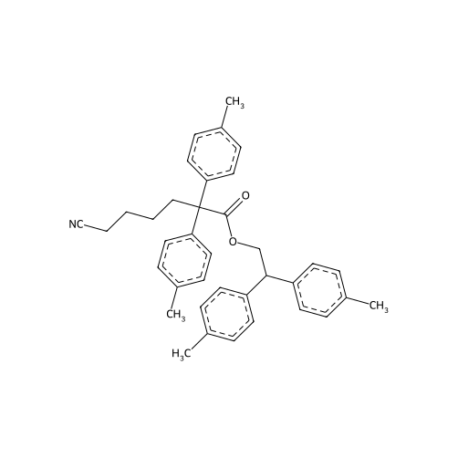 Cc1ccc(C(COC(=O)C(CCCCC#N)(c2ccc(C)cc2)c2ccc(C)cc2)c2ccc(C)cc2)cc1